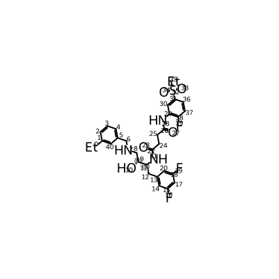 CCc1cccc(CNC[C@@H](O)[C@H](Cc2cc(F)cc(F)c2)NC(=O)CCC(=O)Nc2cc(S(=O)(=O)CC)ccc2F)c1